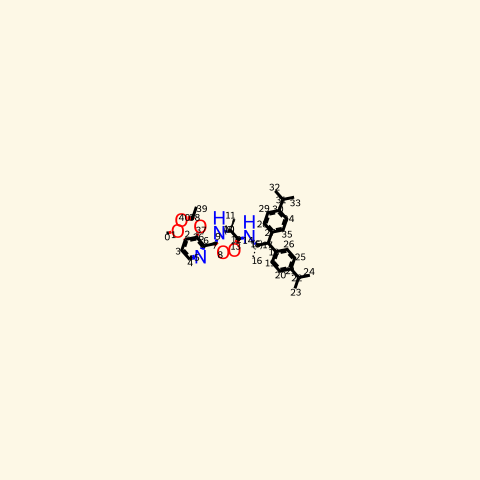 COc1ccnc(C(=O)N[C@@H](C)C(=O)N[C@@H](C)C(c2ccc(C(C)C)cc2)c2ccc(C(C)C)cc2)c1OC(C)=O